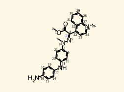 COC(=O)/C(=N\N(C)c1ccc(Nc2ccc(N)cc2)cc1)c1cc[n+](C)c2ccccc12